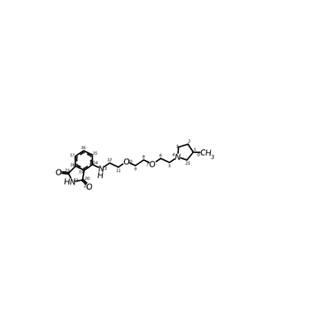 CC1CCN(CCOCCOCCNc2cccc3c2C(=O)NC3=O)C1